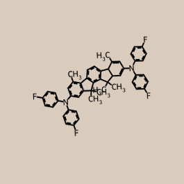 CC1=CC(N(c2ccc(F)cc2)c2ccc(F)cc2)=CC2C1c1ccc3c(c1C2(C)C)C(C)(C)c1cc(N(c2ccc(F)cc2)c2ccc(F)cc2)cc(C)c1-3